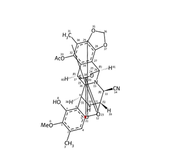 COc1c(C)cc2c(c1O)[C@@H]1N[C@@H](C2)[C@H](C#N)N2C1[C@@H]1SCC(=O)C(=O)OC[C@H]2c2c3c(c(C)c(OC(C)=O)c21)OCO3